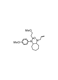 C=CCN(C)C1CCCCCC1N(C(=O)CCOC)c1ccc(OC)cc1